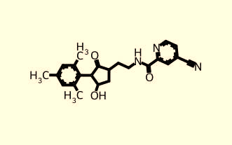 Cc1cc(C)c(C2C(=O)C(CCNC(=O)c3cc(C#N)ccn3)CC2O)c(C)c1